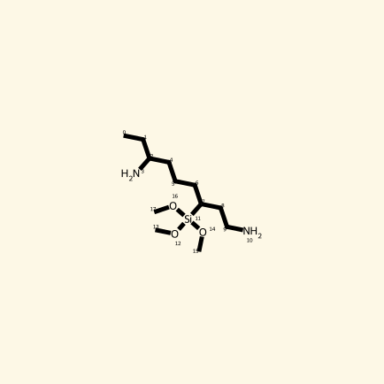 CCC(N)CCCC(CCN)[Si](OC)(OC)OC